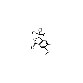 COc1cc2c(cc1C)C(C(Cl)(Cl)Cl)OC2=O